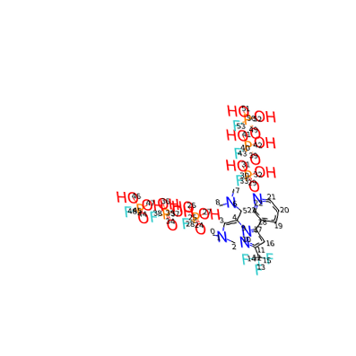 CN(C)/C=C(/CN(C)C)n1nc(C(F)(F)F)cc1-c1cccnc1.O=P(O)(O)F.O=P(O)(O)F.O=P(O)(O)F.O=P(O)(O)F.O=P(O)(O)F.O=P(O)(O)F